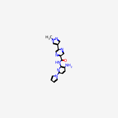 Cn1cc(-c2cnc(C(=O)Nc3nc(-n4cccc4)ccc3N)cn2)cn1